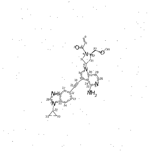 C=CC(=O)N1CC(n2cc(C#Cc3ccc4c(c3)ncn4C3CC3)c3c(N)nccc32)C[C@@H]1COC